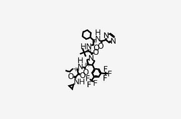 CCC[C@H](NC(=O)[C@H]1CN(C(=O)[C@@H](NC(=O)[C@@H](NC(=O)c2cnccn2)C2CCCCC2)C(C)(C)C)CC1c1cc(C(F)(F)F)cc(C(F)(F)F)c1)C(=O)C(=O)NC1CC1